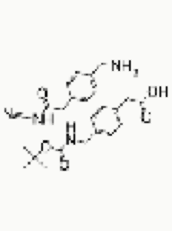 CC(C)(C)OC(=O)NCc1ccc(CC(=O)O)cc1.N#CNC(=O)Cc1ccc(CN)cc1